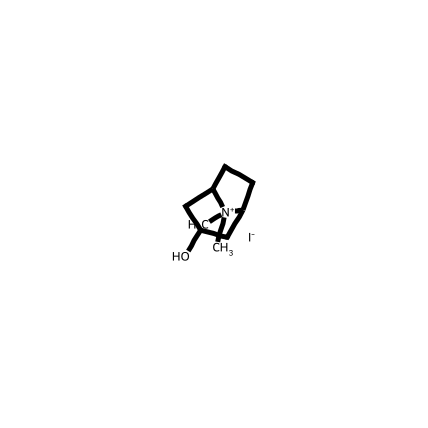 C[N+]1(C)C2CCC1CC(O)C2.[I-]